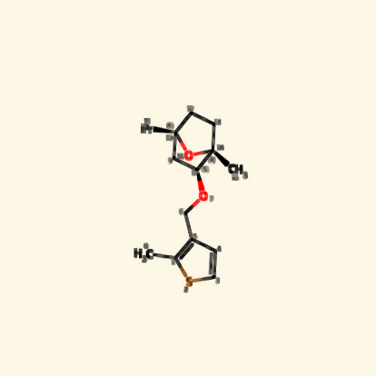 Cc1sccc1CO[C@H]1C[C@]2(C(C)C)CC[C@@]1(C)O2